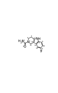 BC(=O)N1CCc2[nH]c3ccc(F)cc3c2C1